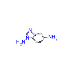 Nc1ccc2c(c1)ncn2N